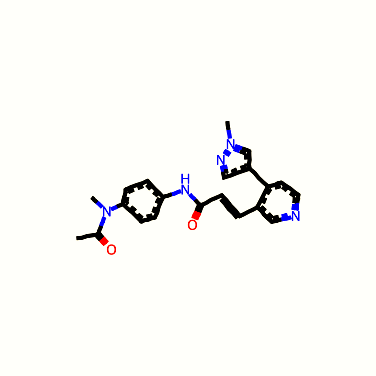 CC(=O)N(C)c1ccc(NC(=O)C=Cc2cnccc2-c2cnn(C)c2)cc1